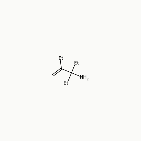 C=C(CC)C(N)(CC)CC